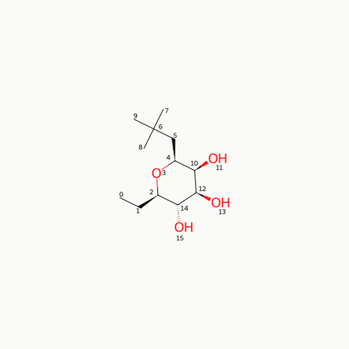 CC[C@H]1O[C@@H](CC(C)(C)C)[C@@H](O)[C@@H](O)[C@@H]1O